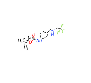 CC(C)(C)OC(=O)NC1CCC(CNCC(F)(F)F)CC1